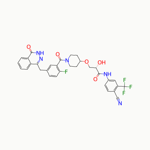 N#Cc1ccc(NC(=O)[C@@H](O)COC2CCN(C(=O)c3cc(Cc4n[nH]c(=O)c5ccccc45)ccc3F)CC2)cc1C(F)(F)F